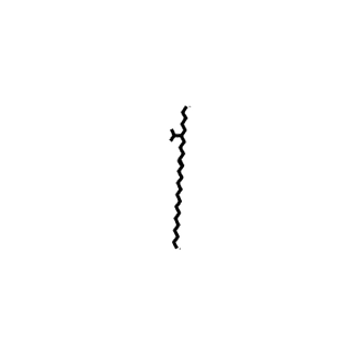 [CH2]CCCCCCCCCCCCCC=CCCCC(CCCC[CH2])C(C)C